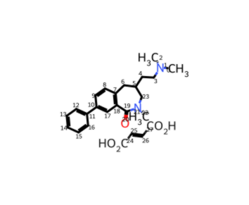 CN(C)CCC1Cc2ccc(-c3ccccc3)cc2C(=O)N(C)C1.O=C(O)C=CC(=O)O